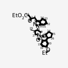 CCOC(=O)CC(=O)Cc1nn([C@H]2CN(S(=O)(=O)c3ccc(OCC)cc3C3CCCC3)C[C@H]2C)c2ccccc12